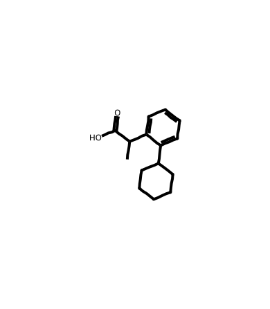 CC(C(=O)O)c1ccccc1C1CCCCC1